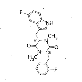 CN1C(=O)[C@H](Cc2c[nH]c3ccc(F)cc23)N(C)C(=O)[C@@H]1Cc1ccccc1F